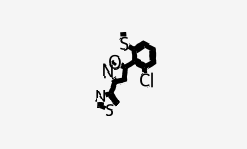 CSc1cccc(Cl)c1C1CC(c2cscn2)=NO1